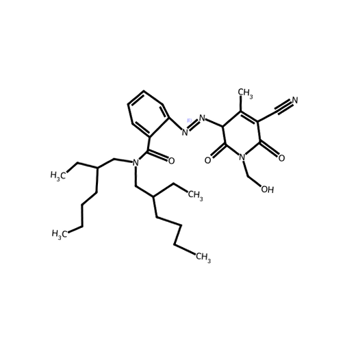 CCCCC(CC)CN(CC(CC)CCCC)C(=O)c1ccccc1/N=N/C1C(=O)N(CO)C(=O)C(C#N)=C1C